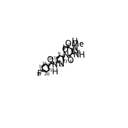 COC(=O)C1=C(C(=O)Nc2ccc(NC(=O)c3ccc(F)cc3)nc2)NCN1